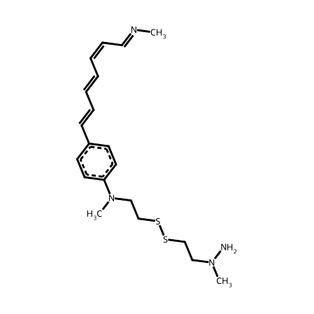 C/N=C/C=C\C=C\C=C\c1ccc(N(C)CCSSCCN(C)N)cc1